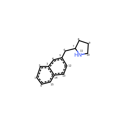 c1ccc2cc(CC3CCCN3)ccc2c1